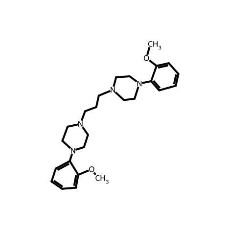 COc1ccccc1N1CCN(CCCN2CCN(c3ccccc3OC)CC2)CC1